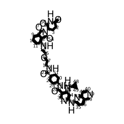 O=C1CCC(N2C(=O)c3cccc(NCCOCCNC(=O)[C@H]4CC[C@H](NC(=O)c5cnc(Nc6ccc7cnccc7n6)cc5NC5CC5)CC4)c3C2=O)C(=O)N1